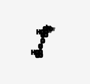 COP(=O)(O)OCCOCCOCCOP(=O)(O)OC[C@@H]1C[C@@H](C)CN1C(C)=O